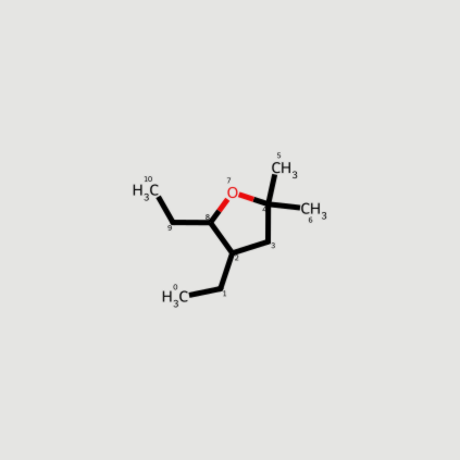 CCC1CC(C)(C)OC1CC